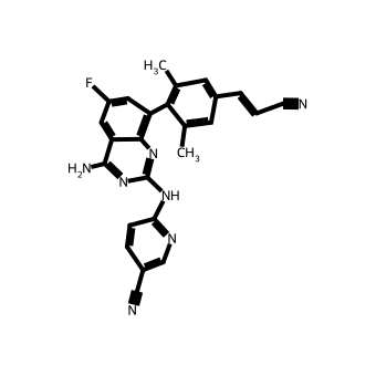 Cc1cc(C=CC#N)cc(C)c1-c1cc(F)cc2c(N)nc(Nc3ccc(C#N)cn3)nc12